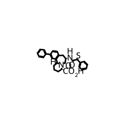 O=C(N[C@H]1Cc2ccc(-c3ccccc3)cc2[C@H]2CCC[C@@H](C(=O)O)N2C1=O)C(=S)c1ccccc1